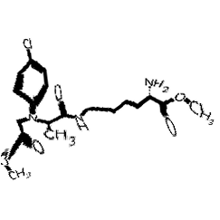 COC(=O)CN(c1ccc(Cl)cc1)[C@H](C)C(=O)NCCCC[C@H](N)C(=O)OC